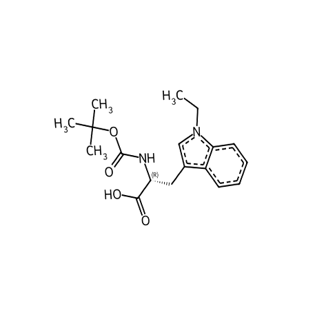 CCn1cc(C[C@@H](NC(=O)OC(C)(C)C)C(=O)O)c2ccccc21